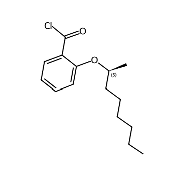 CCCCCC[C@H](C)Oc1ccccc1C(=O)Cl